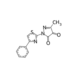 CC1=NN(c2nc(-c3ccccc3)cs2)C(=O)C1=O